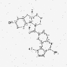 Cn1ncc2c(N)nc3cnc(C(=O)N4CCO[C@@H]5Cc6cc(Cl)ccc6[C@@H]54)cc3c21